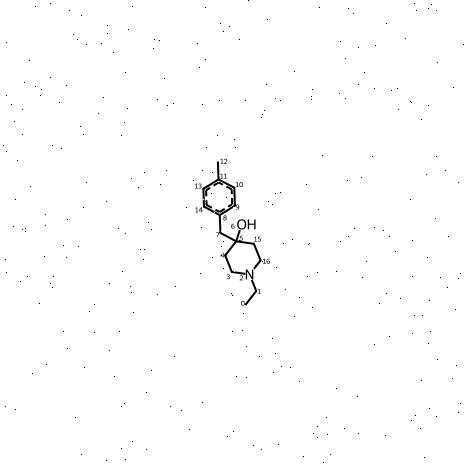 CCN1CCC(O)(Cc2ccc(C)cc2)CC1